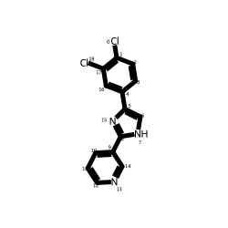 Clc1ccc(-c2c[nH]c(-c3cccnc3)n2)cc1Cl